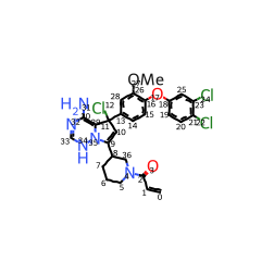 C=CC(=O)N1CCCC(C2=CC(Cl)(c3ccc(Oc4ccc(Cl)c(Cl)c4)c(OC)c3)C3=C(N)N=CNN23)C1